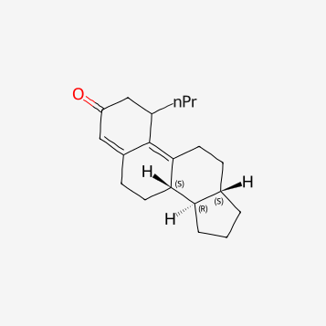 CCCC1CC(=O)C=C2CC[C@@H]3C(=C21)CC[C@@H]1CCC[C@H]13